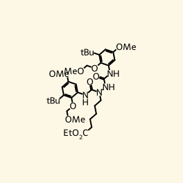 CCOC(=O)CCCCCN(NC(=O)Nc1cc(OC)cc(C(C)(C)C)c1OCOC)C(=O)Nc1cc(OC)cc(C(C)(C)C)c1OCOC